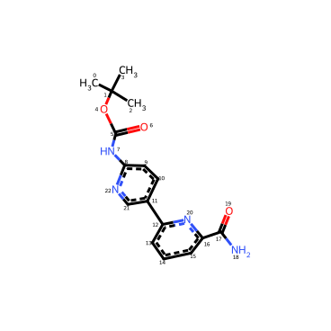 CC(C)(C)OC(=O)Nc1ccc(-c2cccc(C(N)=O)n2)cn1